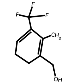 CC1=C(CO)CCC=C1C(F)(F)F